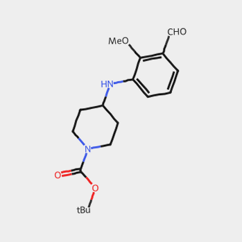 COc1c(C=O)cccc1NC1CCN(C(=O)OC(C)(C)C)CC1